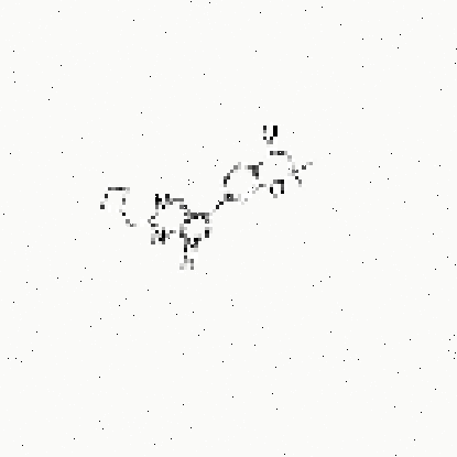 CC1(C)CC(=O)c2ccc(-c3c[nH]c4nc(CC5CCC5)ncc34)cc2O1